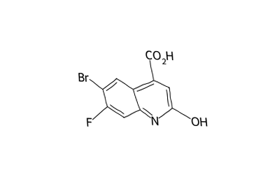 O=C(O)c1cc(O)nc2cc(F)c(Br)cc12